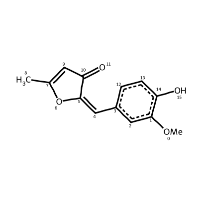 COc1cc(C=C2OC(C)=CC2=O)ccc1O